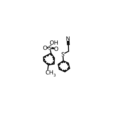 Cc1ccc(S(=O)(=O)O)cc1.N#CCSc1ccccc1